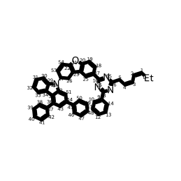 CC/C=C\C=C/Cc1nc(-c2ccccc2)nc(-c2ccc3oc4c(c3c2)C[C@H](n2c3ccccc3c3c(-c5ccccc5)cc(-c5ccccc5)cc32)C=C4)n1